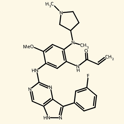 C=CC(=O)Nc1cc(Nc2ncc3[nH]nc(-c4cccc(F)c4)c3n2)c(OC)cc1N(C)C1CCN(C)C1